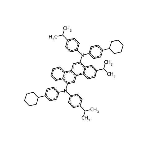 CC(C)c1ccc(N(c2ccc(C3CCCCC3)cc2)c2cc3c4ccc(C(C)C)cc4c(N(c4ccc(C(C)C)cc4)c4ccc(C5CCCCC5)cc4)cc3c3ccccc23)cc1